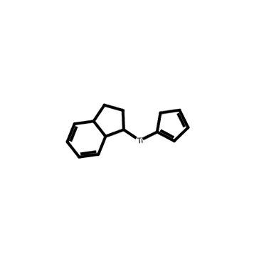 C1=CC[C]([Ti][CH]2CCC3C=CC=CC32)=C1